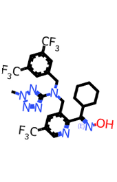 Cn1nnc(N(Cc2cc(C(F)(F)F)cc(C(F)(F)F)c2)Cc2cc(C(F)(F)F)cnc2/C(=N/O)C2CCCCC2)n1